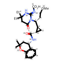 CCC1(CC)CC(=O)N([C@H](CCOC)[C@H]2C[C@@H]2C(=O)N[C@H]2CC(C)(C)Oc3ccccc32)C(=NC(=O)O)N1